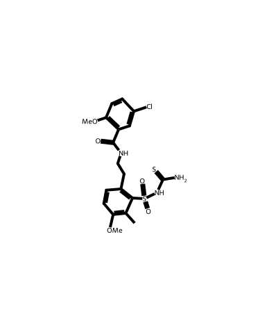 COc1ccc(Cl)cc1C(=O)NCCc1ccc(OC)c(C)c1S(=O)(=O)NC(N)=S